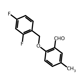 Cc1ccc(OCc2ccc(F)cc2F)c(C=O)c1